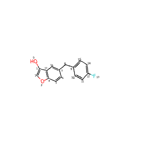 Oc1coc2ccc(Cc3ccc(F)cc3)cc12